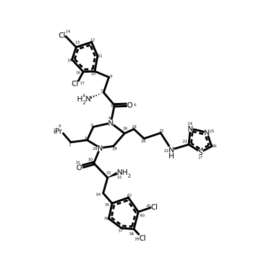 CC(C)CC1CN(C(=O)[C@H](N)Cc2ccc(Cl)cc2Cl)C(CCCNc2nncs2)CN1C(=O)[C@@H](N)Cc1ccc(Cl)c(Cl)c1